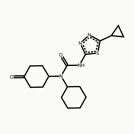 O=C1CCC(N(C(=O)Nc2nnc(C3CC3)s2)C2CCCCC2)CC1